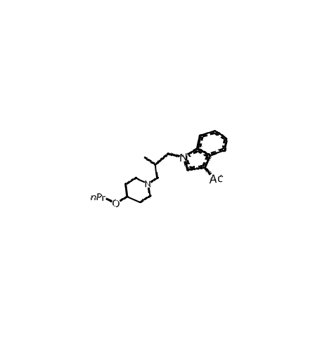 CCCOC1CCN(CC(C)Cn2cc(C(C)=O)c3ccccc32)CC1